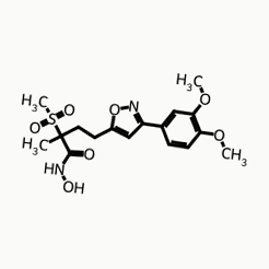 COc1ccc(-c2cc(CCC(C)(C(=O)NO)S(C)(=O)=O)on2)cc1OC